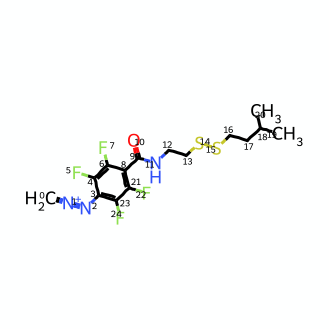 C=[N+]=Nc1c(F)c(F)c(C(=O)NCCSSCCC(C)C)c(F)c1F